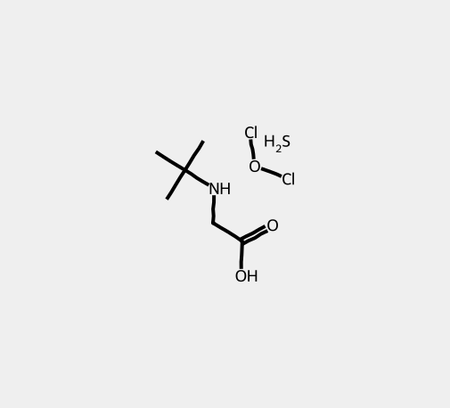 CC(C)(C)NCC(=O)O.ClOCl.S